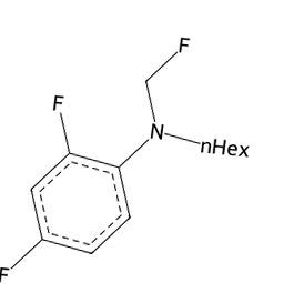 CCCCCCN(CF)c1ccc(F)cc1F